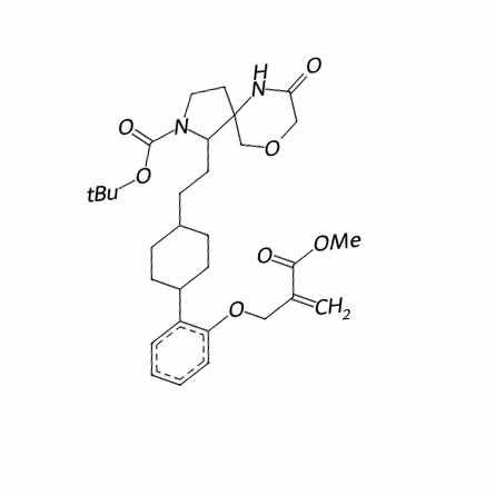 C=C(COc1ccccc1C1CCC(CCC2N(C(=O)OC(C)(C)C)CCC23COCC(=O)N3)CC1)C(=O)OC